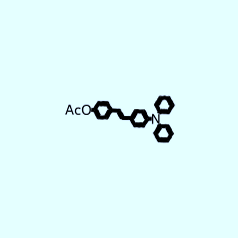 CC(=O)Oc1ccc(C=Cc2ccc(N(c3ccccc3)c3ccccc3)cc2)cc1